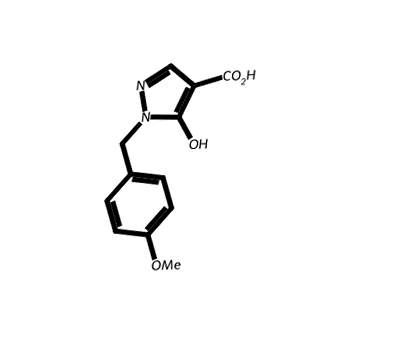 COc1ccc(Cn2ncc(C(=O)O)c2O)cc1